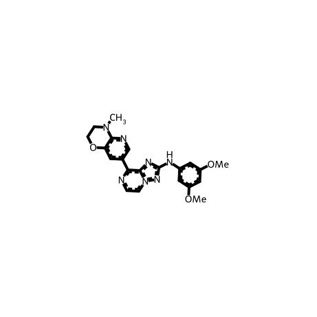 COc1cc(Nc2nc3c(-c4cnc5c(c4)OCCN5C)nccn3n2)cc(OC)c1